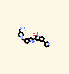 NCC1CCN(Cc2ccc3[nH]c(-c4cc5cc(-c6cccnc6)ccc5[nH]c4=O)cc3c2)CC1